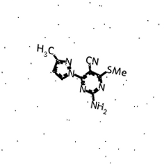 CSc1nc(N)nc(-n2ccc(C)n2)c1C#N